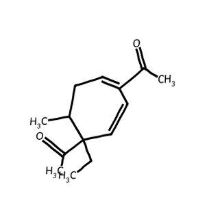 CCC1(C(C)=O)C=CC(C(C)=O)=CCC1C